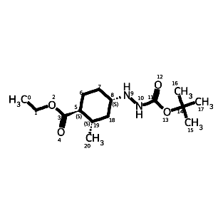 CCOC(=O)[C@H]1CC[C@H](NNC(=O)OC(C)(C)C)C[C@@H]1C